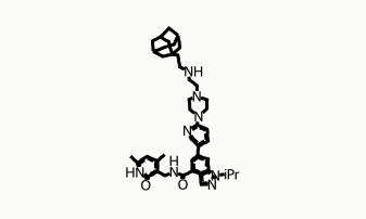 Cc1cc(C)c(CNC(=O)c2cc(-c3ccc(N4CCN(CCNCCC56CC7CC(CC(C7)C5)C6)CC4)nc3)cc3c2cnn3C(C)C)c(=O)[nH]1